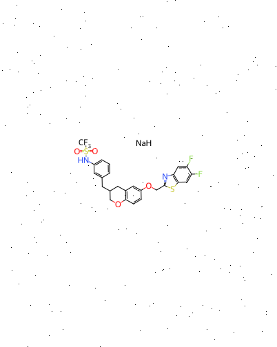 O=S(=O)(Nc1cccc(CC2COc3ccc(OCc4nc5cc(F)c(F)cc5s4)cc3C2)c1)C(F)(F)F.[NaH]